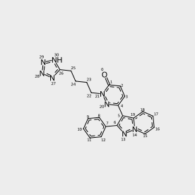 O=c1ccc(-c2c(-c3ccccc3)nn3ccccc23)nn1CCCCc1nnn[nH]1